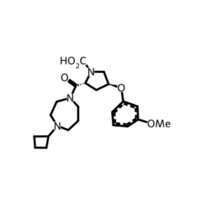 COc1cccc(O[C@H]2C[C@H](C(=O)N3CCCN(C4CCC4)CC3)N(C(=O)O)C2)c1